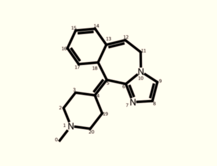 CN1CCC(=C2c3nccn3CC=C3C=CC=CC32)CC1